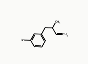 C=C[C](C)Cc1cccc(Br)c1